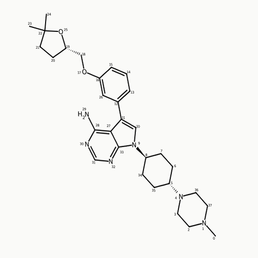 CN1CCN([C@H]2CC[C@H](n3cc(-c4cccc(OC[C@@H]5CCC(C)(C)O5)c4)c4c(N)ncnc43)CC2)CC1